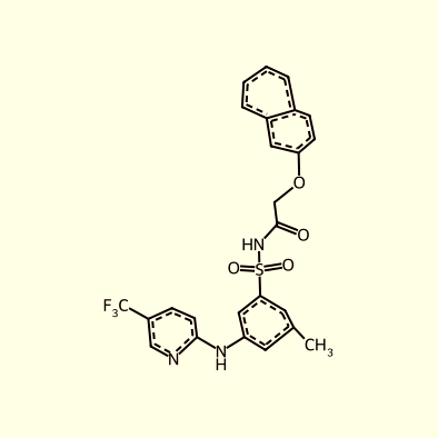 Cc1cc(Nc2ccc(C(F)(F)F)cn2)cc(S(=O)(=O)NC(=O)COc2ccc3ccccc3c2)c1